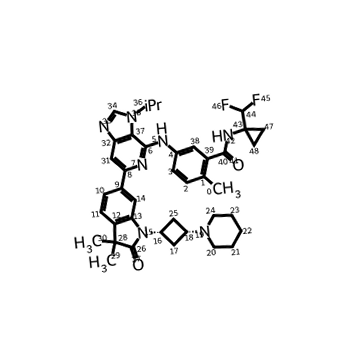 Cc1ccc(Nc2nc(-c3ccc4c(c3)N([C@H]3C[C@@H](N5CCCCC5)C3)C(=O)C4(C)C)cc3ncn(C(C)C)c23)cc1C(=O)NC1(C(F)F)CC1